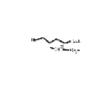 CC#N.CCCCCCCCCCC[CH2][Na].O=S(=O)(O)O